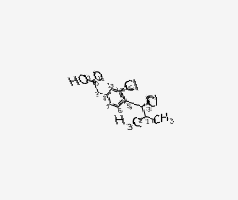 CC(C)C(Cl)c1ccc(CC(=O)O)cc1Cl